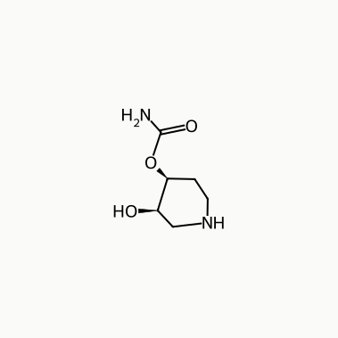 NC(=O)O[C@H]1CCNC[C@H]1O